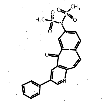 CS(=O)(=O)N(c1ccc2ccc3ncc(-c4ccccc4)cc3c(=O)c2c1)S(C)(=O)=O